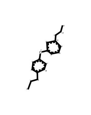 CCCc1ccc(Oc2cccc(CCC)c2)cc1